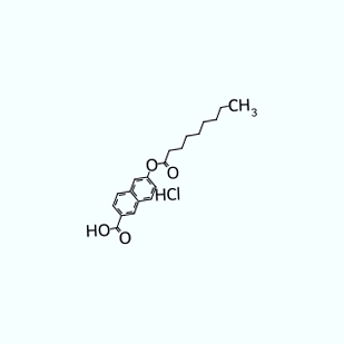 CCCCCCCCC(=O)Oc1ccc2cc(C(=O)O)ccc2c1.Cl